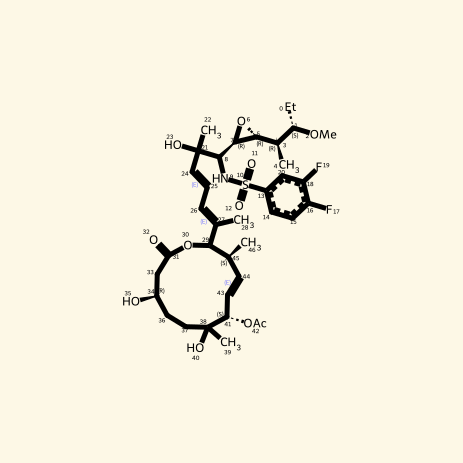 CC[C@H](OC)[C@@H](C)[C@H]1O[C@@H]1C(NS(=O)(=O)c1ccc(F)c(F)c1)C(C)(O)/C=C/C=C(\C)C1OC(=O)C[C@H](O)CCC(C)(O)[C@@H](OC(C)=O)/C=C/[C@@H]1C